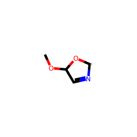 COC1C=N[C]O1